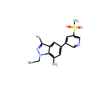 CC(=O)c1nn(CC(C)(C)C)c2c(C)cc(-c3cncc(S(C)(=O)=O)c3)cc12